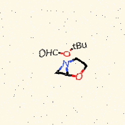 C1CN2CC2O1.CC(C)(C)OC=O